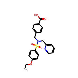 CCOc1ccc(S(=O)(=O)N(Cc2ccc(C(=O)O)cc2)Cc2ccccn2)cc1